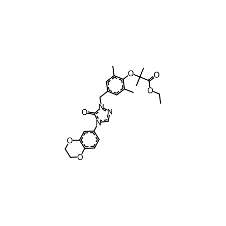 CCOC(=O)C(C)(C)Oc1c(C)cc(Cn2ncn(-c3ccc4c(c3)OCCO4)c2=O)cc1C